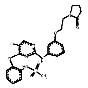 CS(=O)(=O)Nc1ccccc1Nc1nc(Nc2cccc(OCCN3CCCC3=O)c2)ncc1Cl